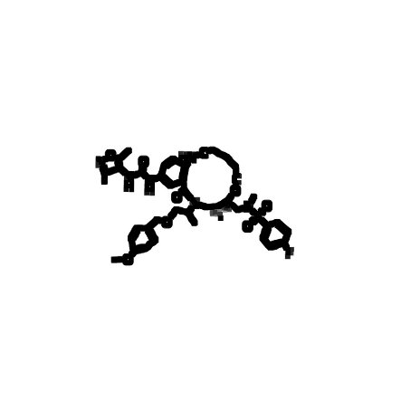 COc1ccc(COCC(C)N2C[C@@H](C)[C@H](CN(C)S(=O)(=O)c3ccc(F)cc3)OCCCCCNc3ccc(NC(=O)Nc4c(C)noc4C)cc3C2=O)cc1